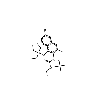 CCOC(=O)[C@@H](OC(C)(C)C)c1c(C)cc2cc(Br)ccc2c1O[Si](CC)(CC)CC